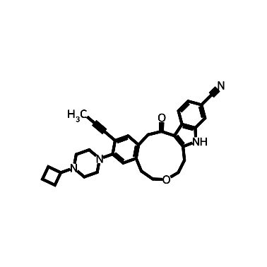 CC#Cc1cc2c(cc1N1CCN(C3CCC3)CC1)CCOCCc1[nH]c3cc(C#N)ccc3c1C(=O)C2